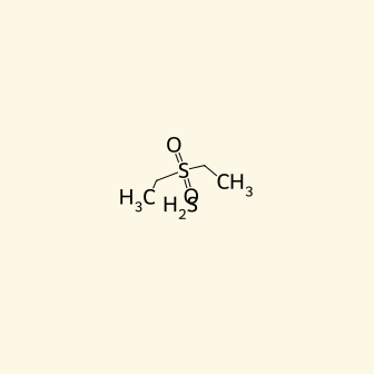 CCS(=O)(=O)CC.S